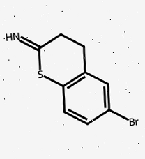 N=C1CCc2cc(Br)ccc2S1